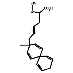 CCCSC(C/C=C/CC1(C)C=CC2(C=CCC=C2)C=C1)C(=O)OCC